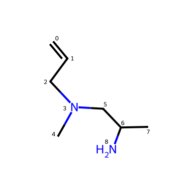 C=CCN(C)CC(C)N